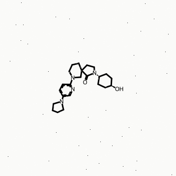 O=C1N([C@H]2CC[C@H](O)CC2)CCC12CCCN(c1ccc(N3CCCC3)cn1)C2